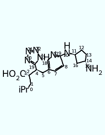 CC(C)C[C@H](C(=O)O)[C@H](Cc1ccc(N[C@H]2CC[C@H](N)C2)nc1)c1nnn[nH]1